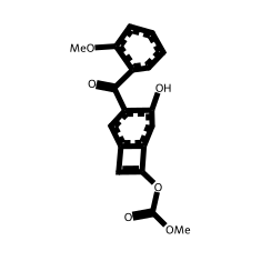 COC(=O)OC1=Cc2cc(C(=O)c3ccccc3OC)c(O)cc21